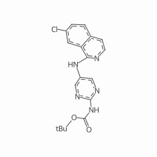 CC(C)(C)OC(=O)Nc1ncc(Nc2nccc3ccc(Cl)cc23)cn1